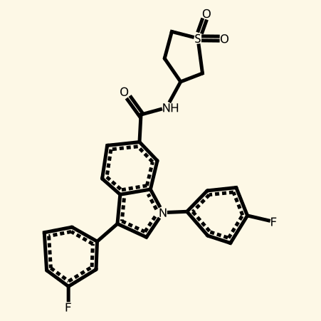 O=C(NC1CCS(=O)(=O)C1)c1ccc2c(-c3cccc(F)c3)cn(-c3ccc(F)cc3)c2c1